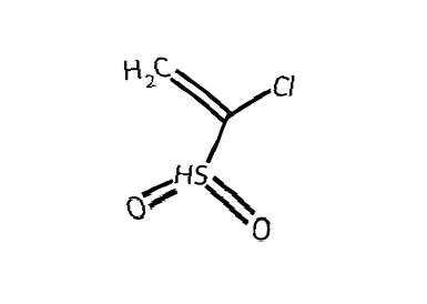 C=C(Cl)[SH](=O)=O